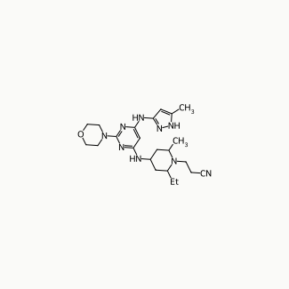 CCC1CC(Nc2cc(Nc3cc(C)[nH]n3)nc(N3CCOCC3)n2)CC(C)N1CCC#N